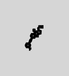 O=c1c2ccc(C#Cc3cccc(F)c3)cc2nc2n1C(CO)CC2